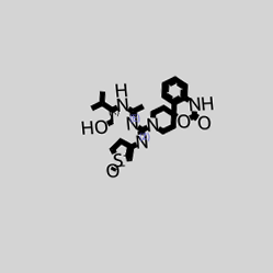 C/C(=N\C(=N/C1=C[S+]([O-])CC1)N1CCC2(CC1)OC(=O)Nc1ccccc12)N[C@@H](CO)C(C)C